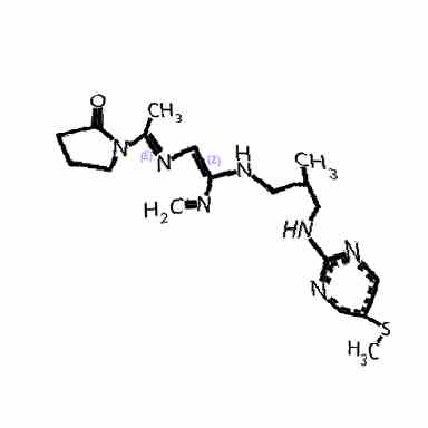 C=N/C(=C\N=C(/C)N1CCCC1=O)NCC(C)CNc1ncc(SC)cn1